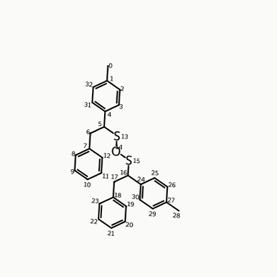 Cc1ccc(C(Cc2ccccc2)SOSC(Cc2ccccc2)c2ccc(C)cc2)cc1